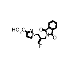 O=C(O)c1ccn(C/C(=C/F)CN2C(=O)c3ccccc3C2=O)n1